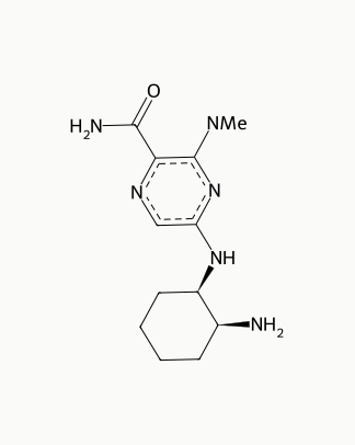 CNc1nc(N[C@@H]2CCCC[C@@H]2N)cnc1C(N)=O